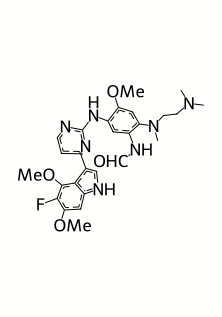 COc1cc(N(C)CCN(C)C)c(NC=O)cc1Nc1nccc(-c2c[nH]c3cc(OC)c(F)c(OC)c23)n1